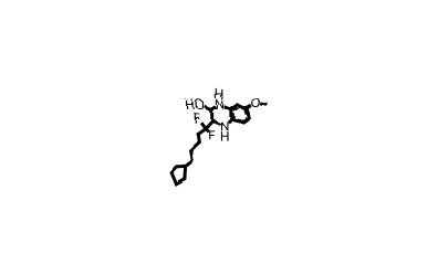 COc1ccc2c(c1)NC(O)C(C(F)(F)CCCCC1CCCC1)N2